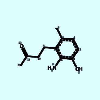 [CH2]c1ccc(O)c(N)c1CCC(C)=O